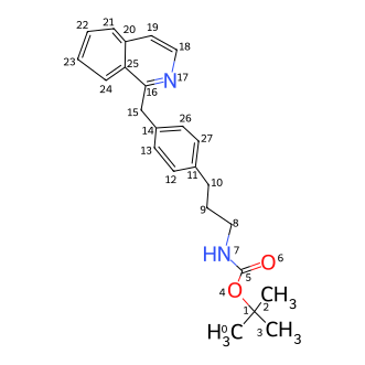 CC(C)(C)OC(=O)NCCCc1ccc(Cc2nccc3ccccc23)cc1